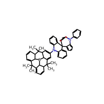 CC1(C)C2=CC=CC3C2B2C4C1=CC=CC4C(C)(C)C1C=C(N4c5ccccc5C5(c6ccccc64)c4ccccc4N(c4ccccc4)c4ccccc45)C=C(C21)C3(C)C